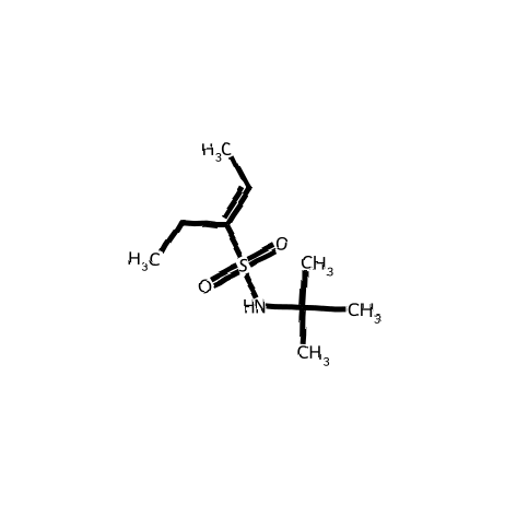 C/C=C(\CC)S(=O)(=O)NC(C)(C)C